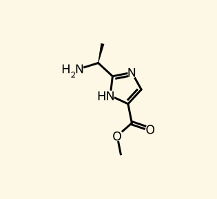 COC(=O)c1cnc([C@H](C)N)[nH]1